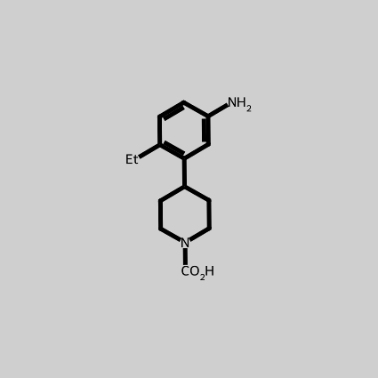 CCc1ccc(N)cc1C1CCN(C(=O)O)CC1